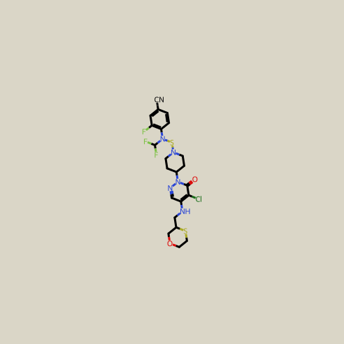 N#Cc1ccc(N(SN2CCC(n3ncc(NCC4COCCS4)c(Cl)c3=O)CC2)C(F)F)c(F)c1